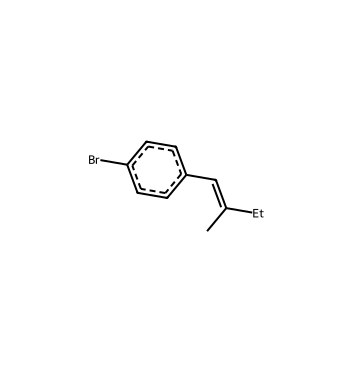 CCC(C)=Cc1ccc(Br)cc1